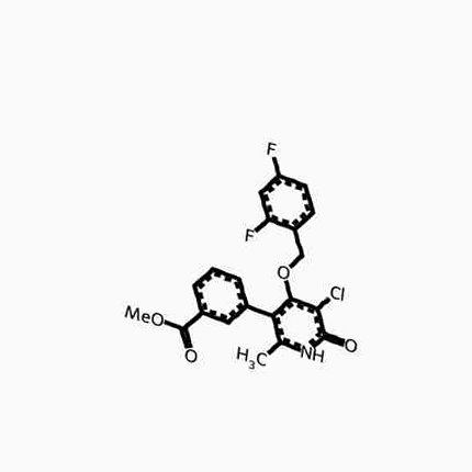 COC(=O)c1cccc(-c2c(C)[nH]c(=O)c(Cl)c2OCc2ccc(F)cc2F)c1